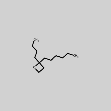 CCC[CH]C1(CCCCCC)CCO1